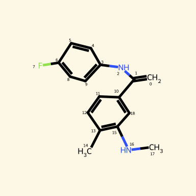 C=C(Nc1ccc(F)cc1)c1ccc(C)c(NC)c1